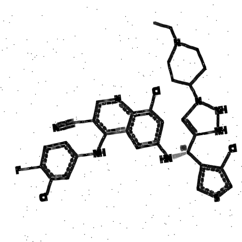 CCN1CCC(N2C=C([C@@H](Nc3cc(Cl)c4ncc(C#N)c(Nc5ccc(F)c(Cl)c5)c4c3)c3cscc3Cl)NN2)CC1